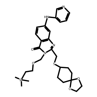 C[Si](C)(C)CCOCn1c(CSC2CCC3(CC2)OCCO3)nc2cc(Nc3cccnc3)ccc2c1=O